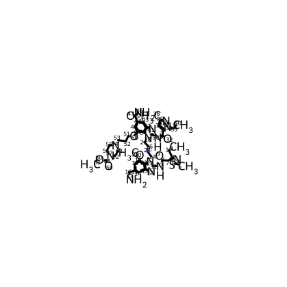 CCc1nc(C)sc1C(=O)Nc1nc2cc(CN)cc(OC)c2n1C/C=C/Cn1c(NC(=O)c2cc(C)nn2CC)nc2cc(C(N)=O)cc(OCCCN3CCN(C(=O)OC)CC3)c21